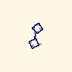 C1=Cc2cc3ccc(cc4cc(CCCc5cc6cc7nc(cc8ccc(cc9nc(cc5[nH]6)C=C9)[nH]8)C=C7)c(cc5nc(cc1n2)C=C5)[nH]4)[nH]3